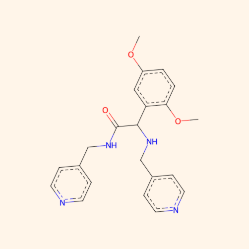 COc1ccc(OC)c(C(NCc2ccncc2)C(=O)NCc2ccncc2)c1